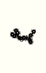 c1ccc(-c2ccc(-c3nc(-c4ccc5c(c4)oc4ccc(-n6c7ccc8ccccc8c7c7c8ccccc8ccc76)cc45)nc4c3sc3ccccc34)cc2)cc1